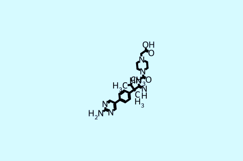 CC(C)C(C)(C(=N)NC(=O)N1CCN(CC(=O)O)CC1)c1ccc(-c2cnc(N)nc2)cc1